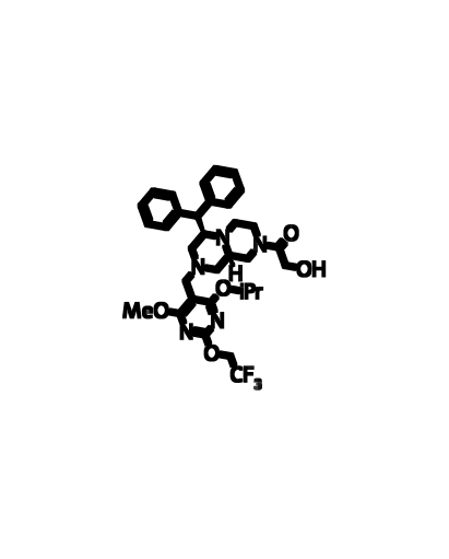 COc1nc(OCC(F)(F)F)nc(OC(C)C)c1CN1C[C@@H]2CN(C(=O)CO)CCN2[C@H](C(c2ccccc2)c2ccccc2)C1